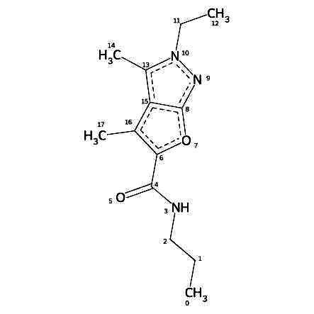 CCCNC(=O)c1oc2nn(CC)c(C)c2c1C